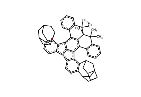 CC1(C)c2ccccc2-c2c3c(c4c5c6c(ncc5n5c7cnc8c(c7c2c45)C2CC4CC(CC8C4)C2)C2CC4CC5CC6CC45C2)-c2ccccc2C(C)(C)C31C